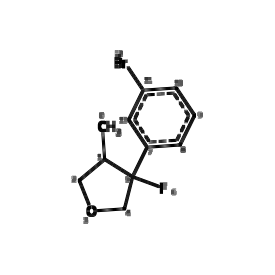 CC1COCC1(F)c1cccc(Br)c1